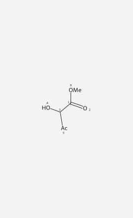 COC(=O)C(O)C(C)=O